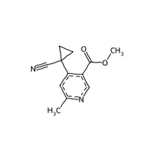 COC(=O)c1cnc(C)cc1C1(C#N)CC1